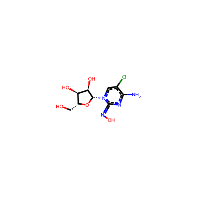 Nc1n/c(=N\O)n([C@@H]2O[C@H](CO)[C@@H](O)[C@H]2O)cc1Cl